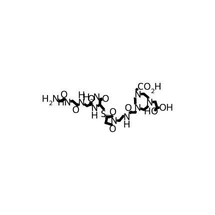 NCC(=O)NCC(=O)NCC(=O)NC(CS[C@@H]1CC(=O)N(CCNC(=O)CN2CCN(CC(=O)O)CCN(CC(O)O)CC2)C1=O)C(N)=O